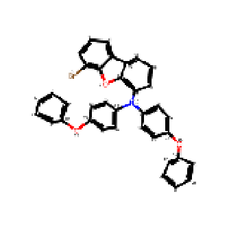 Brc1cccc2c1oc1c(N(c3ccc(Oc4ccccc4)cc3)c3ccc(Oc4ccccc4)cc3)cccc12